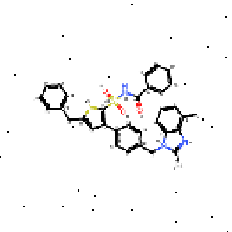 CCc1nc2c(C)cccc2n1Cc1ccc(-c2cc(Cc3ccccc3)sc2S(=O)(=O)NC(=O)c2ccccc2)cc1